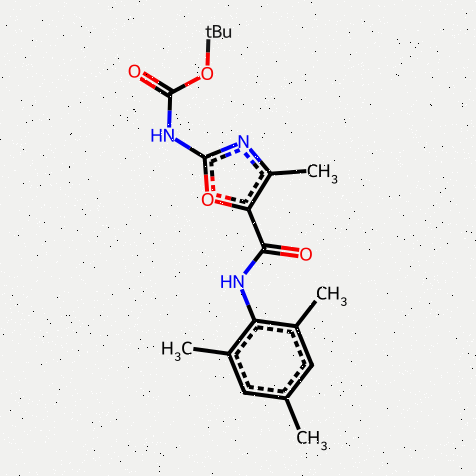 Cc1cc(C)c(NC(=O)c2oc(NC(=O)OC(C)(C)C)nc2C)c(C)c1